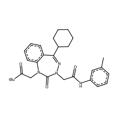 Cc1cccc(NC(=O)CN2N=C(C3CCCCC3)c3ccccc3N(CC(=O)C(C)(C)C)C2=O)c1